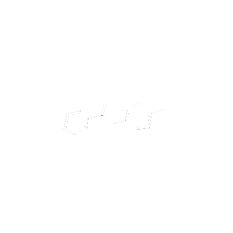 CCc1ccc(CC(=O)c2ccccc2)cc1